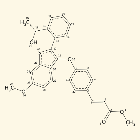 COC(=O)/C=C/c1ccc(Oc2c(-c3ccccc3[C@@H](C)O)sc3cc(OC)ccc23)cc1